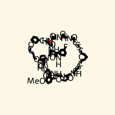 COc1ccc(C[C@@H]2NC(=O)[C@H]([C@@H](C)O)NC(=O)[C@@H]3[C@@H]4CCN3C(=O)[C@H](Cc3c[nH]c5ccc(F)cc35)NC(=O)[C@H](CCc3cccc(c3)OC/C=C/CO4)NC(=O)[C@@H](C)NC(=O)[C@H](C)NC(=O)CCSCc3cccc(c3)CSCCNC(=O)[C@]3(C)CCCN3C2=O)cc1